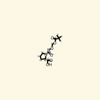 CC(C)(C)C(=O)OCO/N=[N+](\[O-])N1CCC[C@H]1C(=O)O